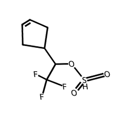 O=[SH](=O)OC(C1CC=CC1)C(F)(F)F